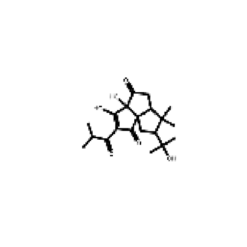 CC(C)C(=O)C1=C(O)C2(O)C(=O)CC3C(C)(C)C(C(C)(C)O)CC32C1=O